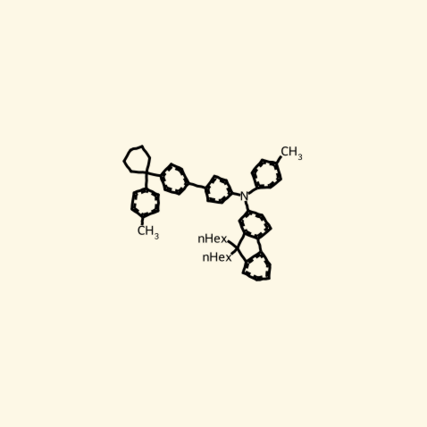 CCCCCCC1(CCCCCC)c2ccccc2-c2ccc(N(c3ccc(C)cc3)c3ccc(-c4ccc(C5(c6ccc(C)cc6)CCCCC5)cc4)cc3)cc21